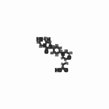 O=C(O)CC[C@@H]1CN(c2ccc(N3C[C@@H]4CNCCN4C3=O)cc2)CCO1